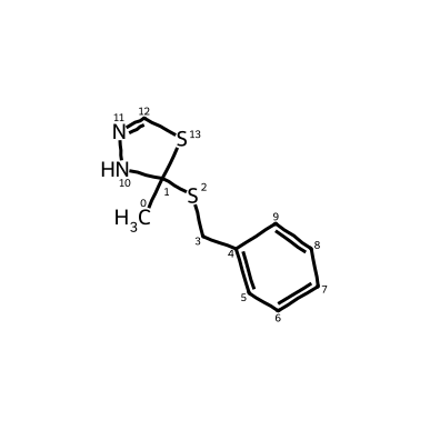 CC1(SCc2ccccc2)NN=CS1